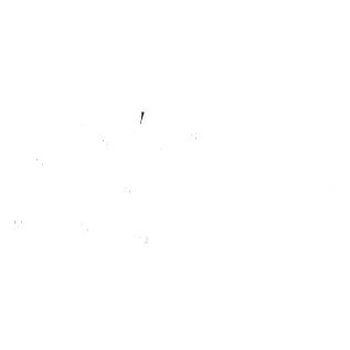 CSc1nc(N)nc(N(C)[C@@H](C)C(=O)Nc2cccc(OC(F)(F)F)c2)c1C#N